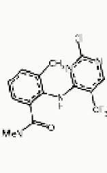 CNC(=O)c1cccc(C)c1Nc1nc(Cl)ncc1C(F)(F)F